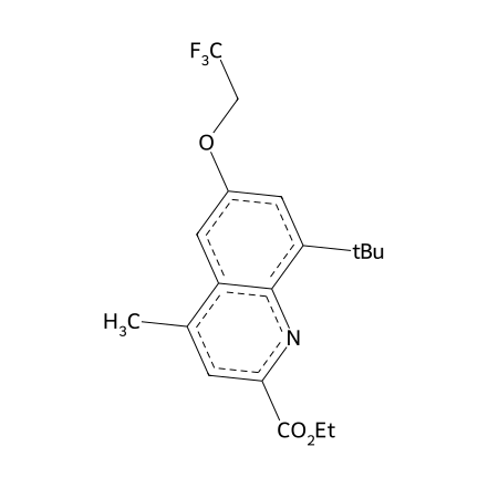 CCOC(=O)c1cc(C)c2cc(OCC(F)(F)F)cc(C(C)(C)C)c2n1